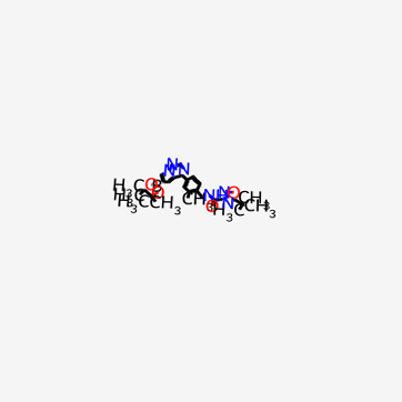 Cc1cc(-c2ncnn3cc(B4OC(C)(C)C(C)(C)O4)cc23)ccc1CNC(=O)c1noc(C(C)(C)C)n1